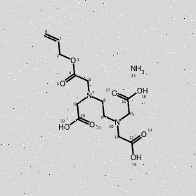 C=CCOC(=O)CN(CCN(CC(=O)O)CC(=O)O)CC(=O)O.N